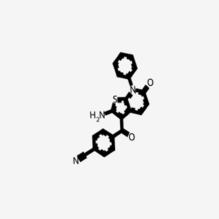 N#Cc1ccc(C(=O)c2c(N)sc3c2ccc(=O)n3-c2ccccc2)cc1